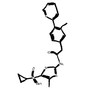 Cc1cc(CC(=O)Nc2nc(C)c(S(=N)(=O)C3CC3)s2)ccc1-c1ccccn1